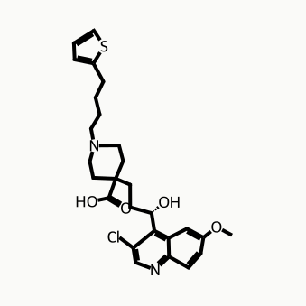 COc1ccc2ncc(Cl)c([C@@H](O)CCC3(C(=O)O)CCN(CCCCc4cccs4)CC3)c2c1